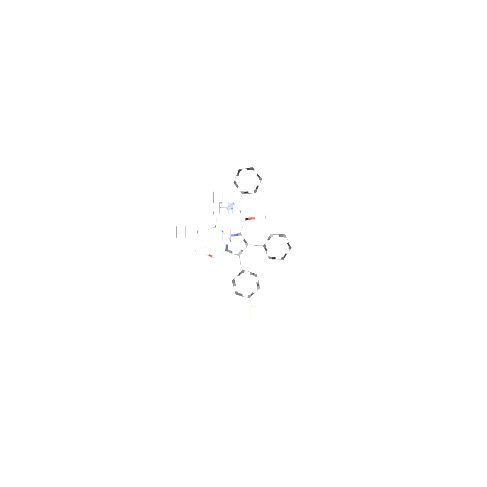 CC(C)n1c(C=O)c(-c2ccc(F)cc2)c(-c2ccccc2)c1C(=O)Nc1ccccc1